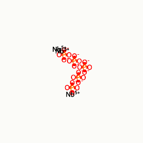 O=P([O-])([O-])[O-].O=P([O-])([O-])[O-].O=P([O-])([O-])[O-].O=P([O-])([O-])[O-].O=P([O-])([O-])[O-].[Nb+5].[Nb+5].[Nb+5]